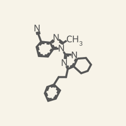 Cc1nc2c(C#N)cccc2n1-c1nc2c(c(CCc3ccccc3)n1)CCCC2